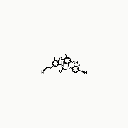 CC(=O)Nc1cc(CCC#N)cc(C)c1Oc1cc(Nc2ccc(C#N)cc2)c(N)cc1C